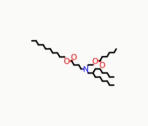 CCCCCCCCCCOC(=O)CCCN(CCOC(=O)CCCCC)CC(CCCCCC)CCCCCC